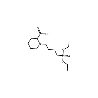 CCOP(=O)(CSCCN1CCCCC1C(=O)O)OCC